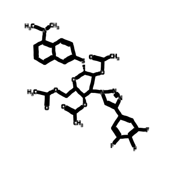 CC(=O)OCC1O[C@H](Sc2ccc3c(N(C)C)cccc3c2)C(OC(C)=O)C(n2cc(-c3cc(F)c(F)c(F)c3)nn2)[C@H]1OC(C)=O